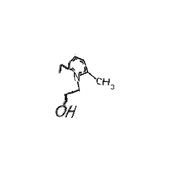 Cc1c[c]nn1CCO